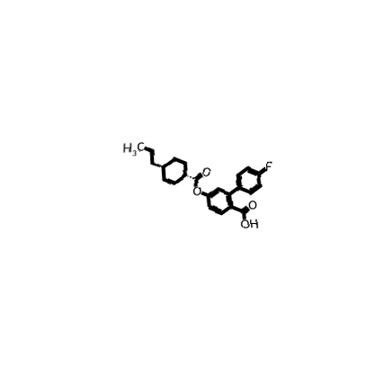 CCC[C@H]1CC[C@H](C(=O)Oc2ccc(C(=O)O)c(-c3ccc(F)cc3)c2)CC1